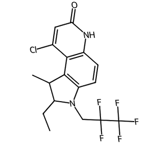 CCC1C(C)c2c(ccc3[nH]c(=O)cc(Cl)c23)N1CC(F)(F)C(F)(F)F